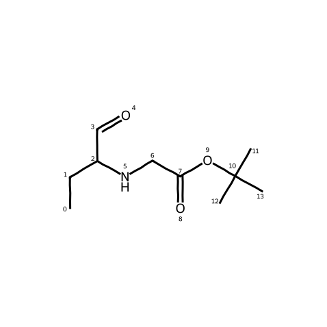 CCC(C=O)NCC(=O)OC(C)(C)C